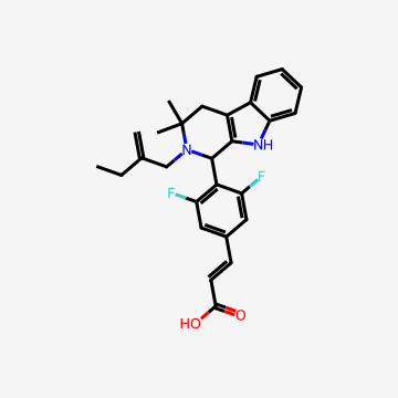 C=C(CC)CN1C(c2c(F)cc(/C=C/C(=O)O)cc2F)c2[nH]c3ccccc3c2CC1(C)C